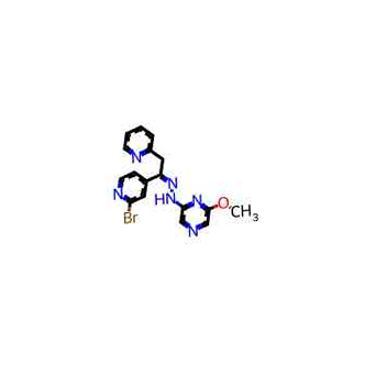 COc1cncc(NN=C(Cc2ccccn2)c2ccnc(Br)c2)n1